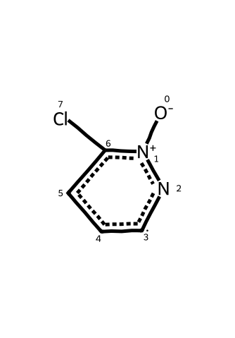 [O-][n+]1n[c]ccc1Cl